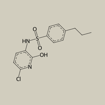 CCCc1ccc(S(=O)(=O)Nc2ccc(Cl)nc2O)cc1